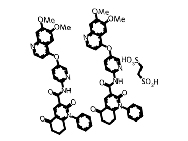 COc1cc2nccc(Oc3ccc(NC(=O)c4cc5c(n(-c6ccccc6)c4=O)CCCC5=O)nc3)c2cc1OC.COc1cc2nccc(Oc3ccc(NC(=O)c4cc5c(n(-c6ccccc6)c4=O)CCCC5=O)nc3)c2cc1OC.O=S(=O)(O)CCS(=O)(=O)O